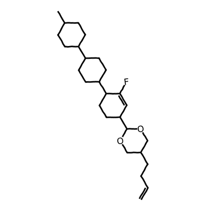 C=CCCC1COC(C2C=C(F)C(C3CCC(C4CCC(C)CC4)CC3)CC2)OC1